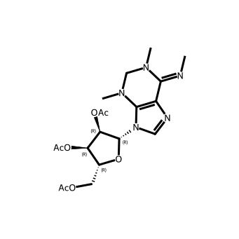 CN=C1c2ncn([C@@H]3O[C@H](COC(C)=O)[C@@H](OC(C)=O)[C@H]3OC(C)=O)c2N(C)CN1C